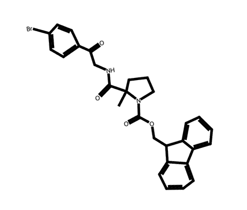 CC1(C(=O)NCC(=O)c2ccc(Br)cc2)CCCN1C(=O)OCC1c2ccccc2-c2ccccc21